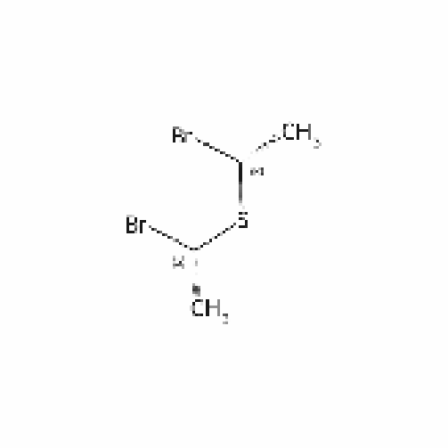 C[C@H](Br)S[C@@H](C)Br